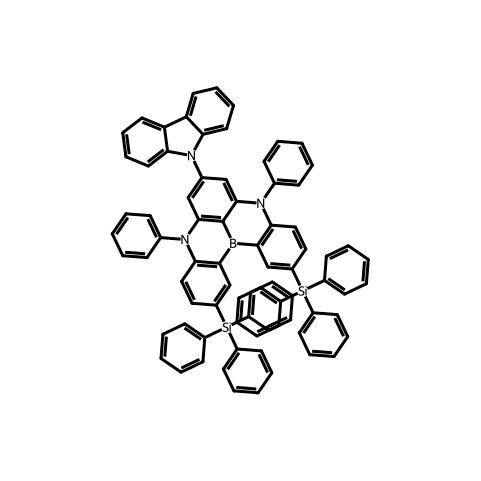 c1ccc(N2c3ccc([Si](c4ccccc4)(c4ccccc4)c4ccccc4)cc3B3c4cc([Si](c5ccccc5)(c5ccccc5)c5ccccc5)ccc4N(c4ccccc4)c4cc(-n5c6ccccc6c6ccccc65)cc2c43)cc1